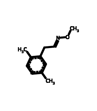 CON=CCc1cc(C)[c]cc1C